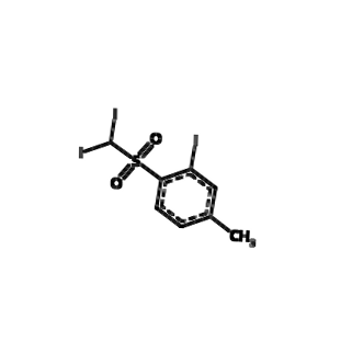 Cc1ccc(S(=O)(=O)C(I)I)c(I)c1